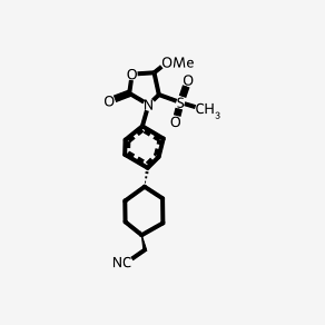 COC1OC(=O)N(c2ccc([C@H]3CC[C@H](CC#N)CC3)cc2)C1S(C)(=O)=O